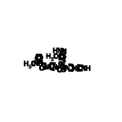 CNc1ccccc1CCN(C=O)C1CCN(C(=O)O[C@H](Cc2cc(C)c3[nH]cnc3c2)C(=O)N2CCC(N3CCNCC3)CC2)CC1